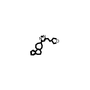 c1ccc2c(c1)CCCC1=C2CCCC(c2cc(CCC3CCOCC3)ncn2)CC1